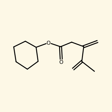 C=C(C)C(=C)CC(=O)OC1CCCCC1